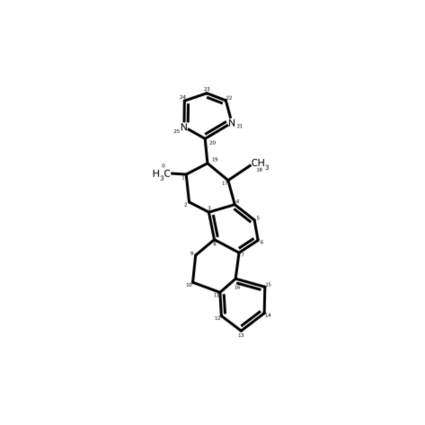 CC1Cc2c(ccc3c2CCc2ccccc2-3)C(C)C1c1ncccn1